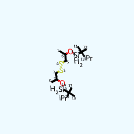 CC(CSSCC(C)O[SiH2]C(C)(C)C(C)C)O[SiH2]C(C)(C)C(C)C